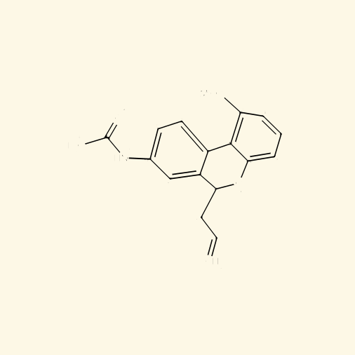 C=CCC1Oc2cccc(OC)c2-c2ccc(NC(=O)C(F)(F)F)cc21